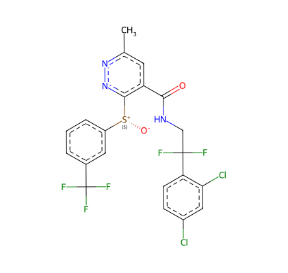 Cc1cc(C(=O)NCC(F)(F)c2ccc(Cl)cc2Cl)c([S@+]([O-])c2cccc(C(F)(F)F)c2)nn1